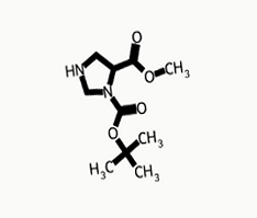 COC(=O)C1CNCN1C(=O)OC(C)(C)C